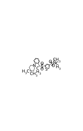 CC(c1ccccc1N1CCC(C)(C)CC1)S(=O)(=O)c1cc(S(=O)(=O)N(C)C)cs1